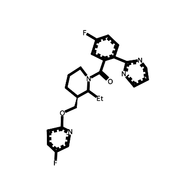 CCC1[C@@H](COc2ccc(F)cn2)CCCN1C(=O)c1cc(F)ccc1-c1ncccn1